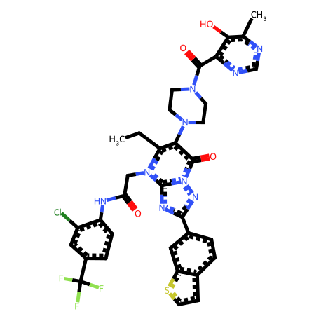 CCc1c(N2CCN(C(=O)c3ncnc(C)c3O)CC2)c(=O)n2nc(-c3ccc4ccsc4c3)nc2n1CC(=O)Nc1ccc(C(F)(F)F)cc1Cl